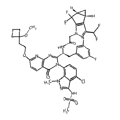 COC1(CCOc2ccc3c(=O)n(-c4ccc(Cl)c5c(NS(C)(=O)=O)nn(C)c45)c([C@H](Cc4cc(F)cc(F)c4)NC(=O)Cn4nc(C(F)F)c5c4C(F)(F)[C@@H]4C[C@H]54)nc3n2)CCC1